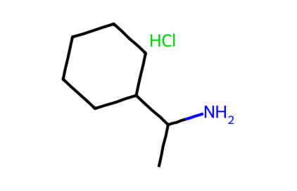 CC(N)C1CCCCC1.Cl